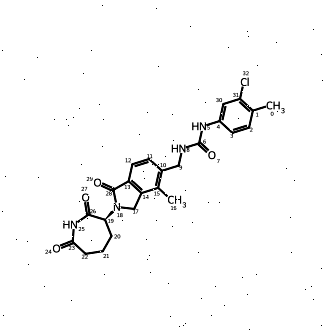 Cc1ccc(NC(=O)NCc2ccc3c(c2C)CN([C@H]2CCCC(=O)NC2=O)C3=O)cc1Cl